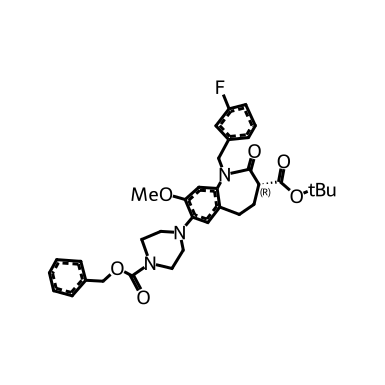 COc1cc2c(cc1N1CCN(C(=O)OCc3ccccc3)CC1)CC[C@@H](C(=O)OC(C)(C)C)C(=O)N2Cc1cccc(F)c1